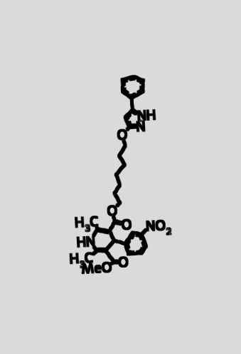 COC(=O)C1=C(C)NC(C)=C(C(=O)OCCCCCCCOc2cc(-c3ccccc3)[nH]n2)C1c1cccc([N+](=O)[O-])c1